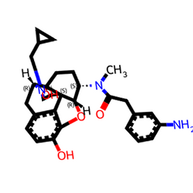 CN(C(=O)Cc1cccc(N)c1)[C@H]1CC[C@@]2(O)[C@H]3Cc4ccc(O)c5c4[C@@]2(CCN3CC2CC2)[C@H]1O5